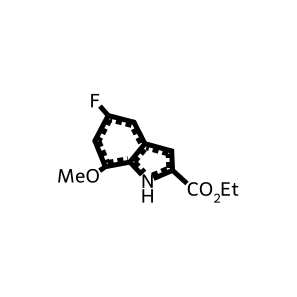 CCOC(=O)c1cc2cc(F)cc(OC)c2[nH]1